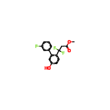 COC(=O)CC(F)(F)c1ccc(O)cc1-c1cccc(F)c1